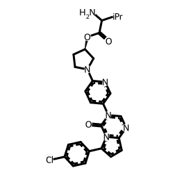 CC(C)C(N)C(=O)O[C@@H]1CCN(c2ccc(-n3cnc4ccc(-c5ccc(Cl)cc5)n4c3=O)cn2)C1